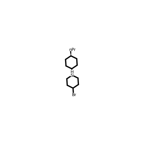 CCC[C@H]1CC[C@H]([SiH]2CCC(Br)CC2)CC1